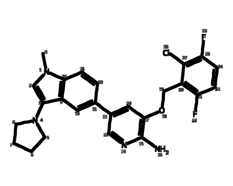 Cn1cc(N2CCCC2)c2cc(-c3cnc(N)c(OCc4c(F)ccc(F)c4Cl)c3)ccc21